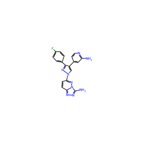 Nc1cc(-c2cn(-c3ccc4nnc(N)n4n3)nc2-c2ccc(F)cc2)ccn1